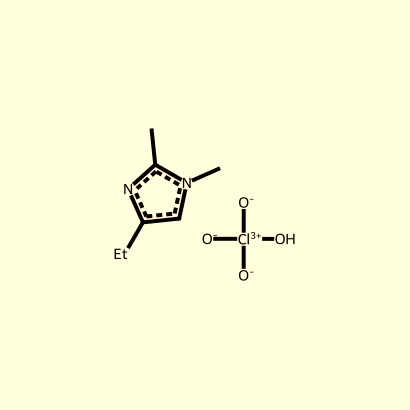 CCc1cn(C)c(C)n1.[O-][Cl+3]([O-])([O-])O